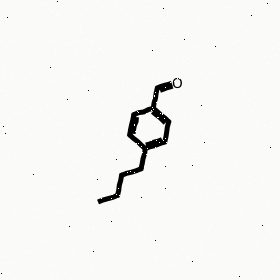 CCCCc1ccc(C=O)cc1